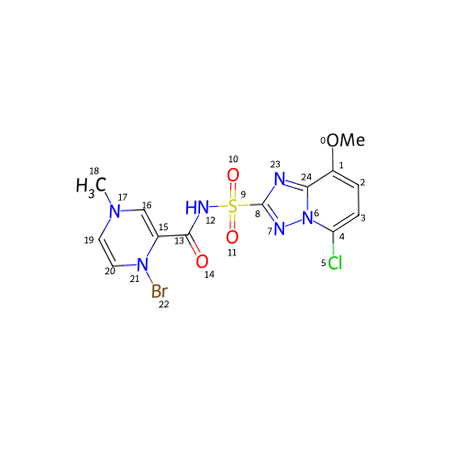 COc1ccc(Cl)n2nc(S(=O)(=O)NC(=O)C3=CN(C)C=CN3Br)nc12